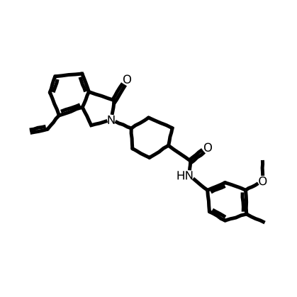 C=Cc1cccc2c1CN(C1CCC(C(=O)Nc3ccc(C)c(OC)c3)CC1)C2=O